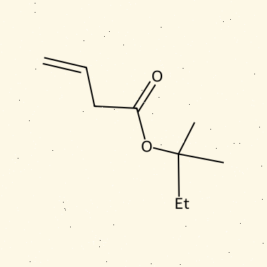 C=CCC(=O)OC(C)(C)CC